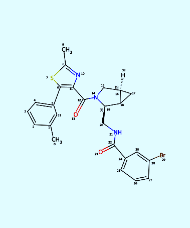 Cc1cccc(-c2sc(C)nc2C(=O)N2C[C@H]3CC3[C@H]2CNC(=O)c2cccc(Br)c2)c1